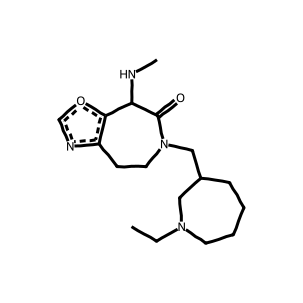 CCN1CCCCC(CN2CCc3ncoc3C(NC)C2=O)C1